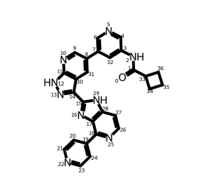 O=C(Nc1cncc(-c2cnc3[nH]nc(-c4nc5c(-c6ccncc6)nccc5[nH]4)c3c2)c1)C1CCC1